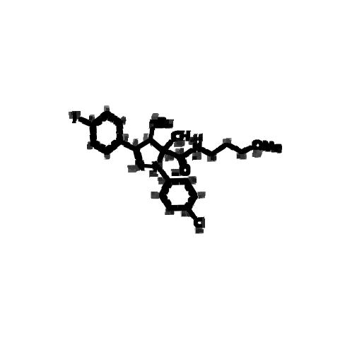 CCCCC1C(c2ccc(F)cc2)=NN(c2ccc(Cl)cc2)C1(C)C(=O)NCCCOC